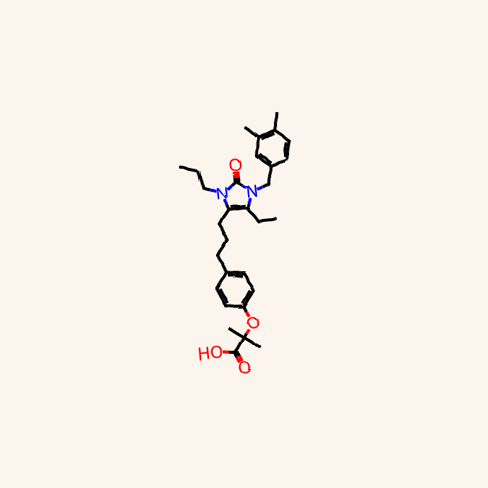 CCCn1c(CCCc2ccc(OC(C)(C)C(=O)O)cc2)c(CC)n(Cc2ccc(C)c(C)c2)c1=O